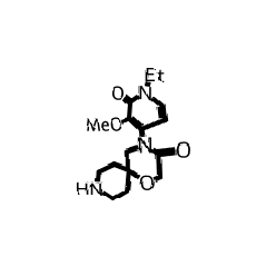 CCn1ccc(N2CC3(CCNCC3)OCC2=O)c(OC)c1=O